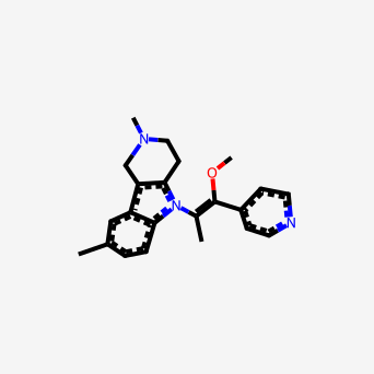 CO/C(=C(/C)n1c2c(c3cc(C)ccc31)CN(C)CC2)c1ccncc1